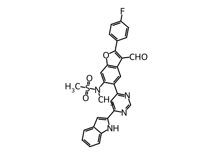 CN(c1cc2oc(-c3ccc(F)cc3)c(C=O)c2cc1-c1cc(-c2cc3ccccc3[nH]2)ncn1)S(C)(=O)=O